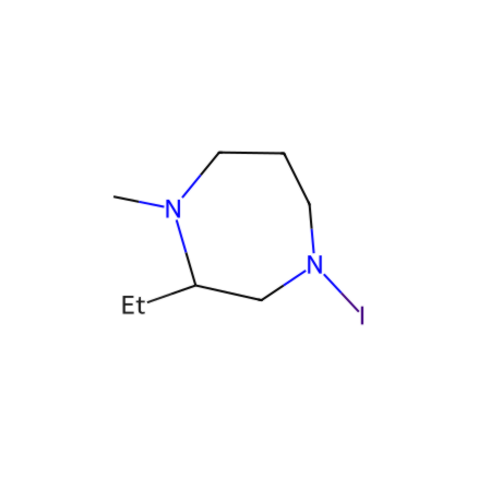 CCC1CN(I)CCCN1C